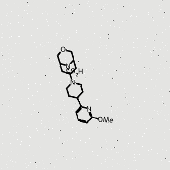 COc1cccc(C2CCN(C3CC4COCC(C3)N4C(=O)O)CC2)n1